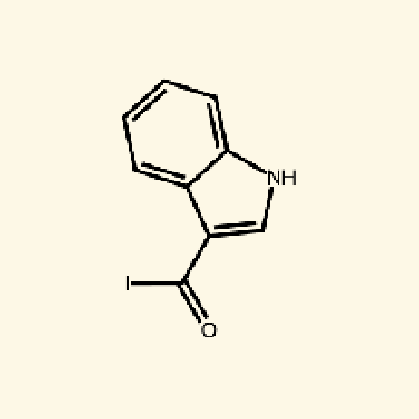 O=C(I)c1c[nH]c2ccccc12